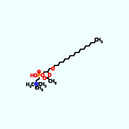 CCCCCCCCCCCCCCCCCOCC(COP(=O)(O)CC[N+](C)(C)C)OC(C)=O